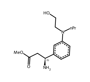 CCCN(CCO)c1cccc([C@@H](N)CC(=O)OC)c1